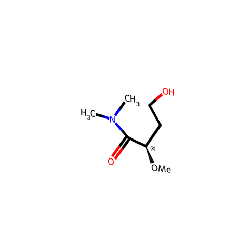 CO[C@H](CCO)C(=O)N(C)C